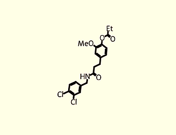 CCC(=O)Oc1ccc(CCC(=O)NCc2ccc(Cl)c(Cl)c2)cc1OC